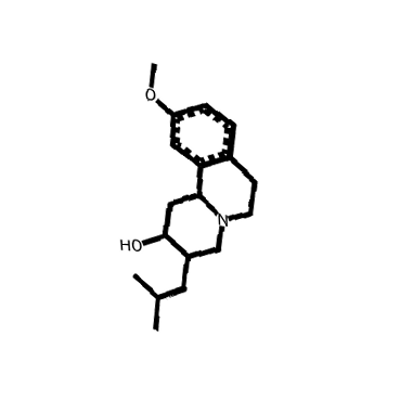 COc1ccc2c(c1)C1CC(O)C(CC(C)C)CN1CC2